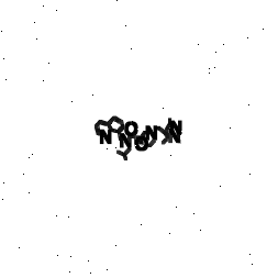 Cc1nn(C)c(C)c1CN1CCO[C@@H](C(=O)N(Cc2cccc3cccnc23)CC(C)C)C1